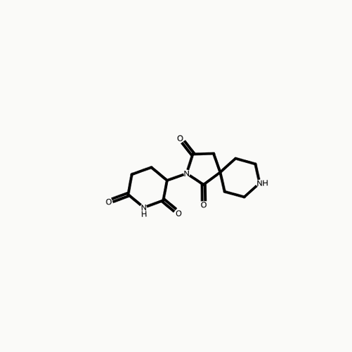 O=C1CCC(N2C(=O)CC3(CCNCC3)C2=O)C(=O)N1